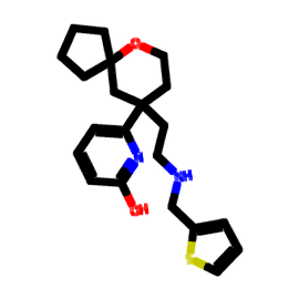 Oc1cccc(C2(CCNCc3cccs3)CCOC3(CCCC3)C2)n1